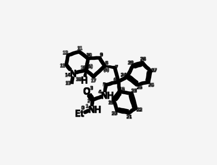 CCNC(=O)NCC(C[C@@H]1CC2CCCN(C)[C@H]2C1)(c1ccccc1)c1ccccc1